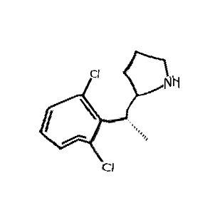 C[C@H](c1c(Cl)cccc1Cl)C1CCCN1